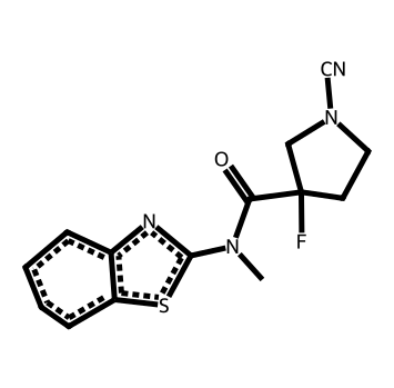 CN(C(=O)C1(F)CCN(C#N)C1)c1nc2ccccc2s1